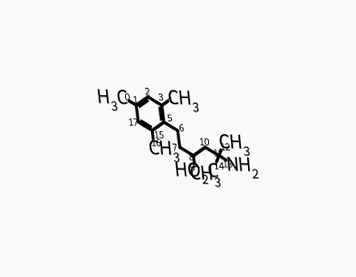 Cc1cc(C)c(CCC(C)CC(C)(N)C(=O)O)c(C)c1